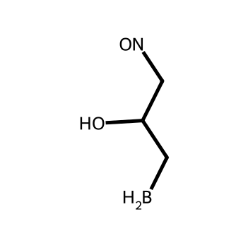 BCC(O)CN=O